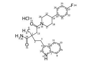 CC(CCc1c[nH]c2ccccc12)(CC(=O)N1CCC(c2ccc(F)cc2)CC1)C(N)=O.Cl